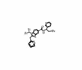 CCC(CC)n1c(Cc2cccs2)nc2cc(C(=O)NC(CC(C)C)c3cccnc3)ccc21